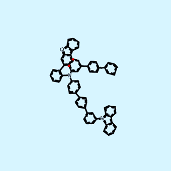 c1ccc(-c2ccc(-c3cccc(N(c4ccc(-c5ccc(-c6cccc(-n7c8ccccc8c8ccccc87)c6)cc5)cc4)c4ccccc4-c4ccc5c(c4)oc4ccccc45)c3)cc2)cc1